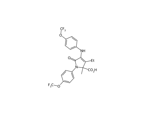 CCC1=C(Nc2ccc(OC(F)(F)F)cc2)C(=O)N(c2ccc(OC(F)(F)F)cc2)C1(C)C(=O)O